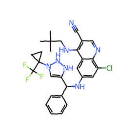 CC(C)(C)CNc1c(C#N)cnc2c(Cl)cc(N[C@H](C3=CN(C4(C(F)(F)F)CC4)NN3)c3ccccc3)cc12